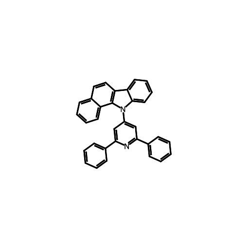 c1ccc(-c2cc(-n3c4ccccc4c4ccc5ccccc5c43)cc(-c3ccccc3)n2)cc1